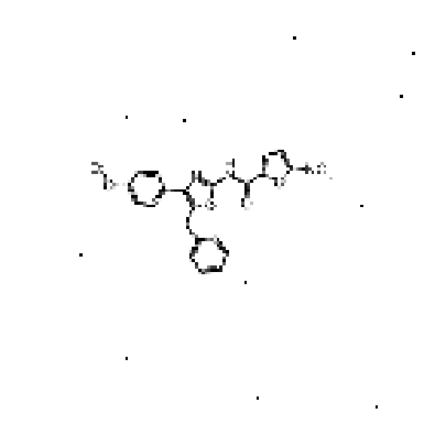 CCOc1ccc(-c2nc(NC(=O)c3ccc([N+](=O)[O-])o3)sc2Cc2ccccc2)cc1